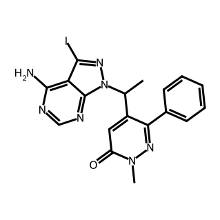 CC(c1cc(=O)n(C)nc1-c1ccccc1)n1nc(I)c2c(N)ncnc21